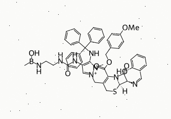 COc1ccc(COC(=O)C2=C(C[n+]3cc(NC(=O)NCCNB(C)O)c(NC(c4ccccc4)(c4ccccc4)c4ccccc4)n3C)CS[C@@H]3[C@H](/N=C\c4ccccc4O)C(=O)N23)cc1